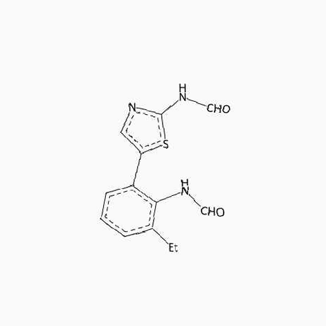 CCc1cccc(-c2cnc(NC=O)s2)c1NC=O